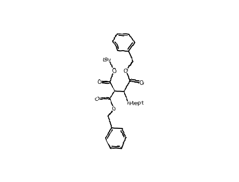 CCCCCCCC(C(=O)OCc1ccccc1)C(C(=O)OCc1ccccc1)C(=O)OC(C)(C)C